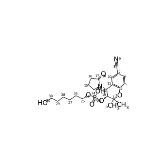 CC1(C)Oc2ccc(C#N)cc2[C@@H](N2CCCC2=O)[C@@H]1OP(=O)(O)OCCCCCCO